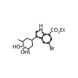 CCOC(=O)c1cc(Br)cc2c(C3CC(C)S(O)(O)C(C)C3)c[nH]c12